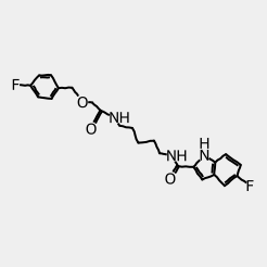 O=C(COCc1ccc(F)cc1)NCCCCCNC(=O)c1cc2cc(F)ccc2[nH]1